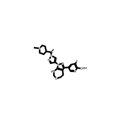 COc1ncc(-c2nn(-c3cnn([C@H](C)C4CCN(C)CC4)c3)c3c2CCOCN3)cc1F